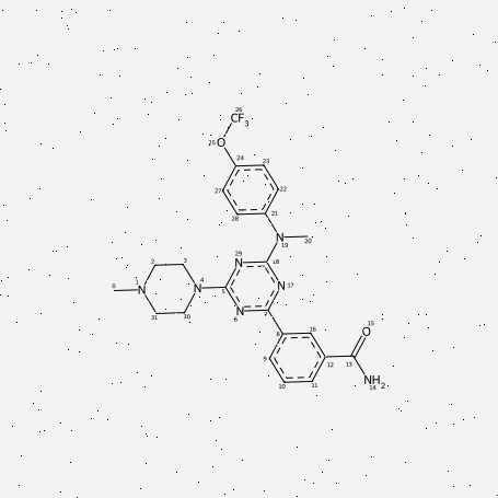 CN1CCN(c2nc(-c3cccc(C(N)=O)c3)nc(N(C)c3ccc(OC(F)(F)F)cc3)n2)CC1